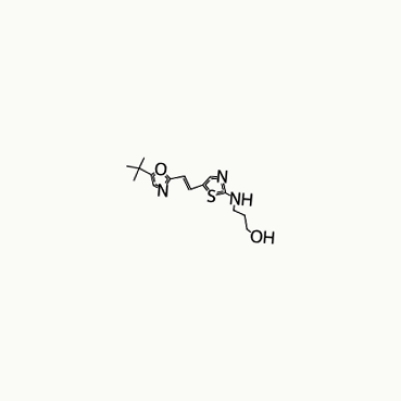 CC(C)(C)c1cnc(/C=C/c2cnc(NCCCO)s2)o1